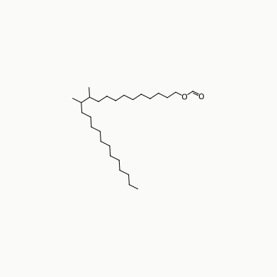 CCCCCCCCCCCCC(C)C(C)CCCCCCCCCCOC=O